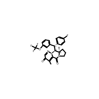 Cc1c2n(ncc1=O)[C@@H]([C@@H](c1ccc(F)cc1)c1cccc(OC(F)(F)F)c1)[C@H]1CCCN1C2=O